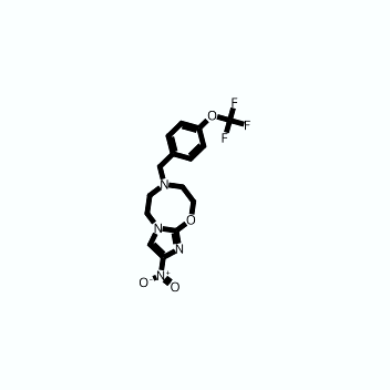 O=[N+]([O-])c1cn2c(n1)OCCN(Cc1ccc(OC(F)(F)F)cc1)CC2